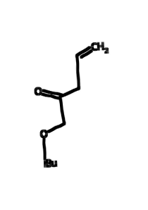 C=CCC(=O)COC(C)CC